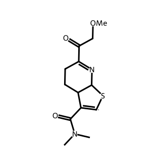 COCC(=O)C1=NC2S[C]=C(C(=O)N(C)C)C2CC1